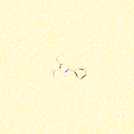 CC(C)c1nc(-c2cccc(Br)c2)oc1CO